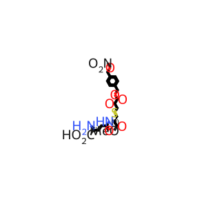 COC(=O)[C@H](CSCC(=O)C(=O)OCc1ccc(CO[N+](=O)[O-])cc1)NC(=O)CC[C@H](N)C(=O)O